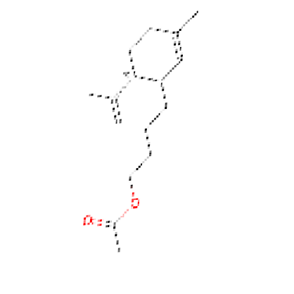 C=C(C)[C@@H]1CCC(C)=CC1CCCCOC(C)=O